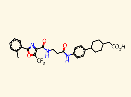 Cc1ccccc1-c1nc(C(=O)NCCC(=O)Nc2ccc(C3CCC(CC(=O)O)CC3)cc2)c(C(F)(F)F)o1